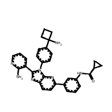 Nc1ncccc1-c1nc2ccc(-c3cccc(NC(=O)C4CC4)c3)nc2n1-c1ccc(C2(N)CCC2)cc1